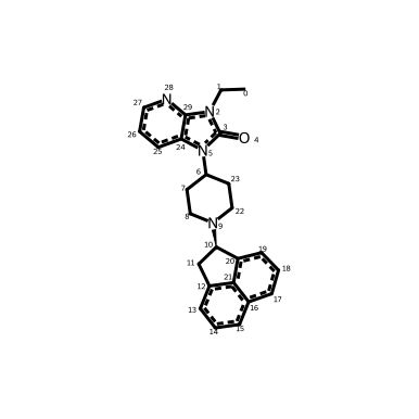 CCn1c(=O)n(C2CCN([C@@H]3Cc4cccc5cccc3c45)CC2)c2cccnc21